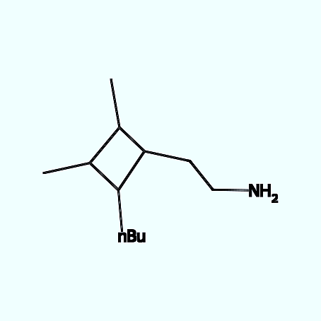 CCCCC1C(C)C(C)C1CCN